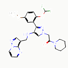 CSc1ccc(OC(F)F)c(-c2nn(CC(=O)N3CCCCC3)cc2NCc2cnn3cccnc23)c1